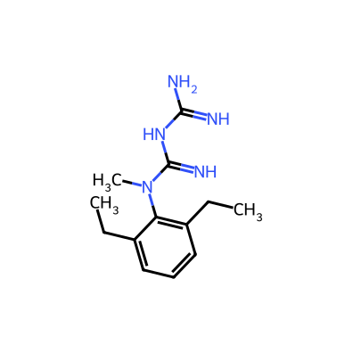 CCc1cccc(CC)c1N(C)C(=N)NC(=N)N